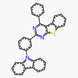 c1ccc(-c2nc(-c3cccc(-n4c5ccccc5c5ccccc54)c3)nc3sc4ccccc4c23)cc1